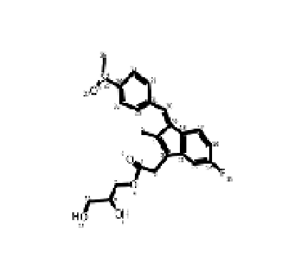 CC1=C(CC(=O)OCC(O)CO)c2cc(F)ccc2/C1=C/c1ccc([S+](C)[O-])cc1